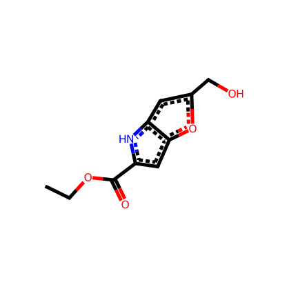 CCOC(=O)c1cc2oc(CO)cc2[nH]1